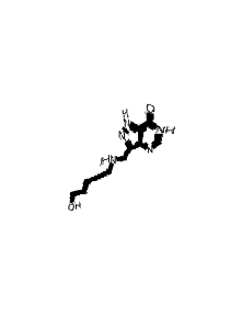 O=c1[nH]cnc2c(CNCCCCO)n[nH]c12